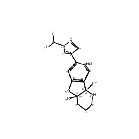 Cl.FC(F)n1cc(-c2ccc3c(c2)O[C@H]2CCCN[C@@H]32)cn1